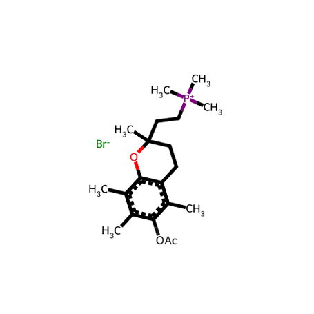 CC(=O)Oc1c(C)c(C)c2c(c1C)CCC(C)(CC[P+](C)(C)C)O2.[Br-]